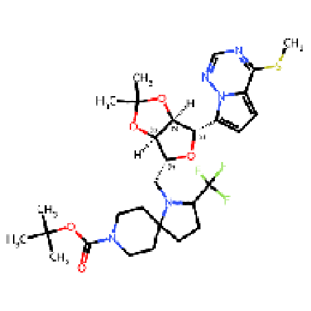 CSc1ncnn2c([C@@H]3O[C@H](CN4C(C(F)(F)F)CCC45CCN(C(=O)OC(C)(C)C)CC5)[C@H]4OC(C)(C)O[C@H]43)ccc12